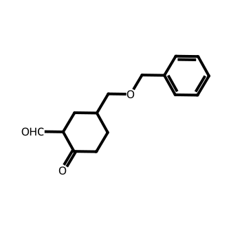 O=CC1CC(COCc2ccccc2)CCC1=O